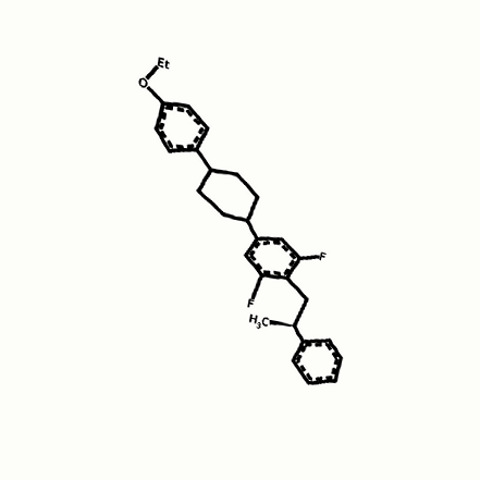 CCOc1ccc(C2CCC(c3cc(F)c(C[C@H](C)c4ccccc4)c(F)c3)CC2)cc1